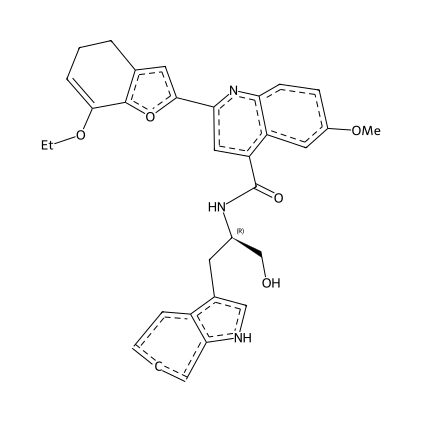 CCOC1=CCCc2cc(-c3cc(C(=O)N[C@@H](CO)Cc4c[nH]c5ccccc45)c4cc(OC)ccc4n3)oc21